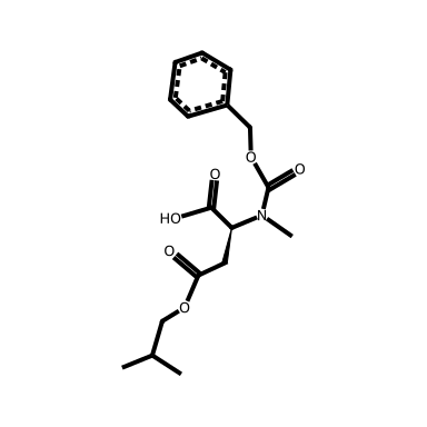 CC(C)COC(=O)C[C@@H](C(=O)O)N(C)C(=O)OCc1ccccc1